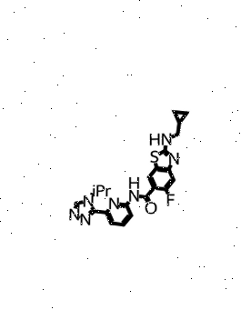 CC(C)n1cnnc1-c1cccc(NC(=O)c2cc3sc(NCC4CC4)nc3cc2F)n1